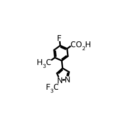 Cc1cc(F)c(C(=O)O)cc1-c1cnn(C(F)(F)F)c1